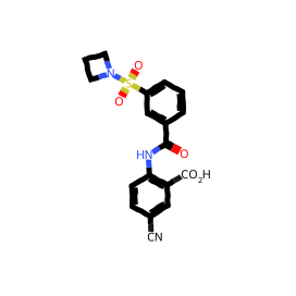 N#Cc1ccc(NC(=O)c2cccc(S(=O)(=O)N3CCC3)c2)c(C(=O)O)c1